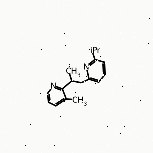 Cc1cccnc1C(C)Cc1cccc(C(C)C)n1